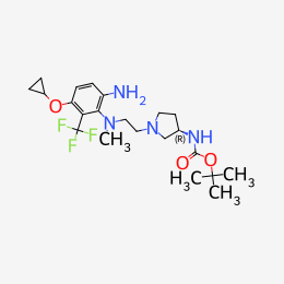 CN(CCN1CC[C@@H](NC(=O)OC(C)(C)C)C1)c1c(N)ccc(OC2CC2)c1C(F)(F)F